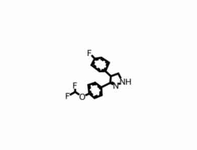 Fc1ccc(C2CNN=C2c2ccc(OC(F)F)cc2)cc1